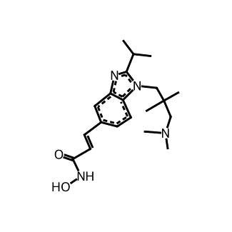 CC(C)c1nc2cc(/C=C/C(=O)NO)ccc2n1CC(C)(C)CN(C)C